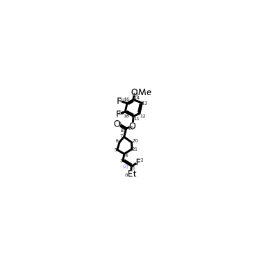 CC/C(F)=C/C1CCC(C(=O)Oc2ccc(OC)c(F)c2F)CC1